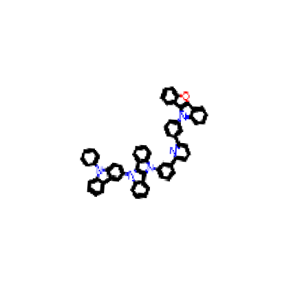 c1ccc(-n2c3ccccc3c3cc(-n4c5ccccc5c5c4c4ccccc4n5-c4cccc(-c5cccc(-c6cccc(-n7c8ccccc8c8oc9ccccc9c87)c6)n5)c4)ccc32)cc1